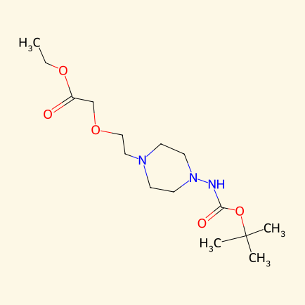 CCOC(=O)COCCN1CCN(NC(=O)OC(C)(C)C)CC1